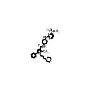 Cc1c(C(=O)NC2CCC(Nc3nccc(N(C)C)n3)CC2)cc(-c2ccccc2)n1CCCN1CCOCC1